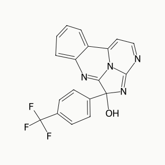 OC1(c2ccc(C(F)(F)F)cc2)N=C2N=CC=C3c4ccccc4N=C1N32